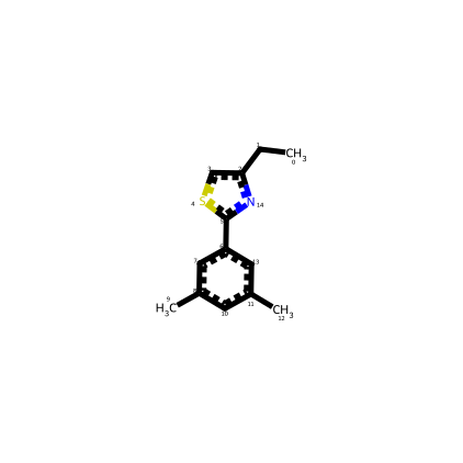 CCc1csc(-c2cc(C)cc(C)c2)n1